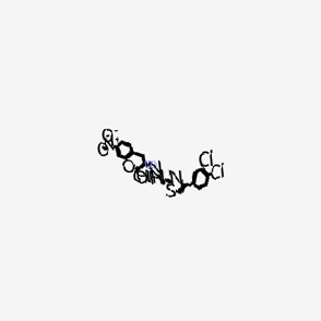 O=C(O)/C(Cc1ccc([N+](=O)[O-])cc1)=N\Nc1nc(-c2ccc(Cl)c(Cl)c2)cs1